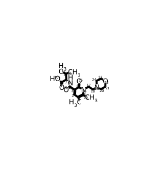 Cc1cc(C(=O)N[C@H](C(=O)O)C(C)C)c(=O)n(CCN2CCOCC2)c1C